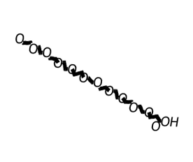 O=CCOCCOCCOCCOCCOCCOCCOCCOCCOCCOCCC(=O)O